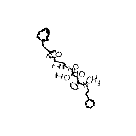 CN(CCc1ccccc1)C(=O)[C@H](O)[C@@H](O)C(=O)NCCc1nc(Cc2ccccc2)co1